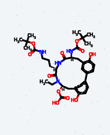 CCN1C(=O)[C@H](CCCNC(=O)OC(C)(C)C)NC(=O)[C@@H](NC(=O)OC(C)(C)C)Cc2cc(ccc2O)-c2ccc(O)c(c2)C[C@@H]1OC(=O)O